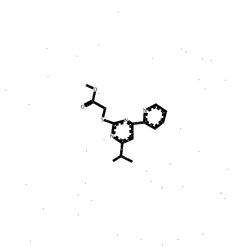 COC(=O)CSc1nc(-c2ccccn2)cc(C(C)C)n1